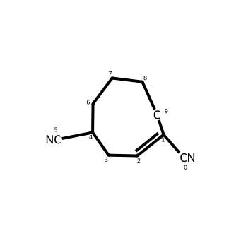 N#C/C1=C/CC(C#N)CCCC1